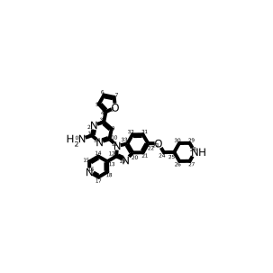 Nc1nc(-c2ccco2)cc(-n2c(-c3ccncc3)nc3cc(OCC4CCNCC4)ccc32)n1